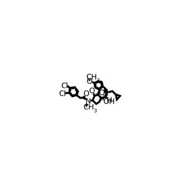 COc1ccc2c3c1OC1C(N(C)C(=O)Cc4ccc(Cl)c(Cl)c4)CC[C@@]4(O)[C@@H](C2)N(CC2CC2)CC[C@]314